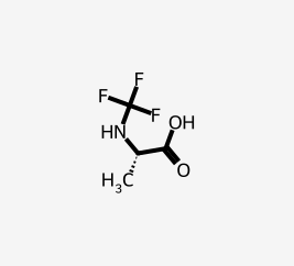 C[C@H](NC(F)(F)F)C(=O)O